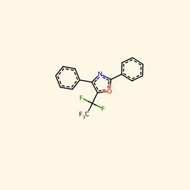 FC(F)(F)C(F)(F)c1oc(-c2ccccc2)nc1-c1ccccc1